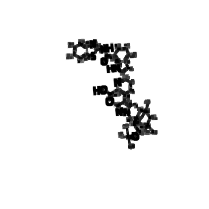 Cc1c(-c2ccc(-c3cc4cccc(C(=O)Nc5nc6ccccc6s5)c4[nH]3)nc2C(=O)O)cnn1CC12CC3(C)CC(C)(C1)CC(OC(C)(C)C)(C3)C2